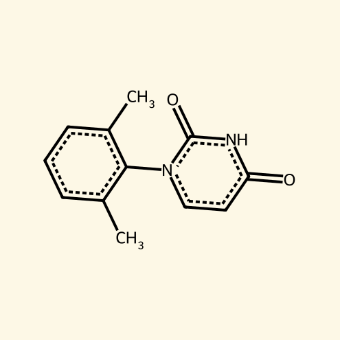 Cc1cccc(C)c1-n1ccc(=O)[nH]c1=O